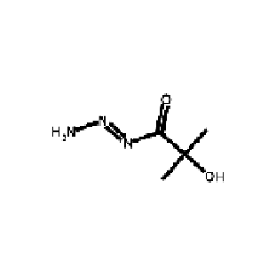 CC(C)(O)C(=O)N=NN